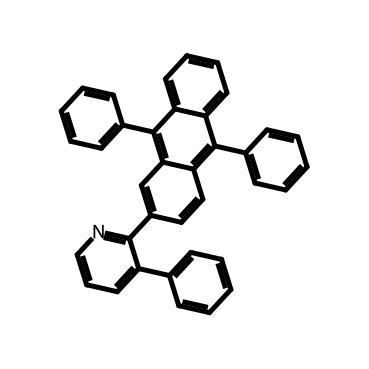 c1ccc(-c2cccnc2-c2ccc3c(-c4ccccc4)c4ccccc4c(-c4ccccc4)c3c2)cc1